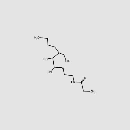 CCCCC(CC)C(O)C(O)OCCNC(=O)CC